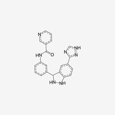 O=C(Nc1cccc(C2NNc3ccc(-c4nc[nH]n4)cc32)c1)c1cccnc1